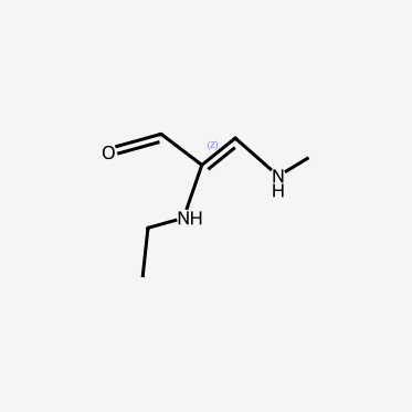 CCN/C(C=O)=C\NC